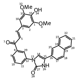 COc1cc(C=CC(=O)c2cccc(-n3cc(-c4ccc5ccccc5c4)[nH]c3=O)c2)cc(OC)c1O